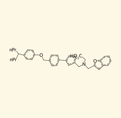 CCCC(CCC)c1ccc(OCc2ccc(-c3csc(CN(CC(=O)O)Cc4cc5ccccc5o4)c3)cc2)cc1